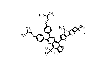 CC(C)COc1ccc(-c2nc3c(-c4cc5c(s4)c4sc6c(c4n5C)CC6(C)C)c4nsnc4c(C(C)(C)C)c3nc2-c2ccc(OCC(C)C)cc2)cc1